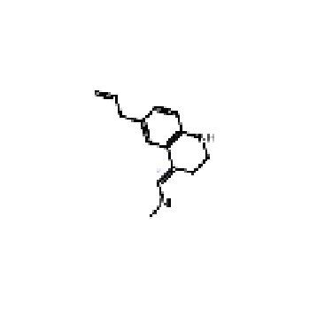 C=CCc1ccc2c(c1)/C(=C/NC)CCN2